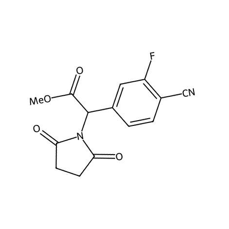 COC(=O)C(c1ccc(C#N)c(F)c1)N1C(=O)CCC1=O